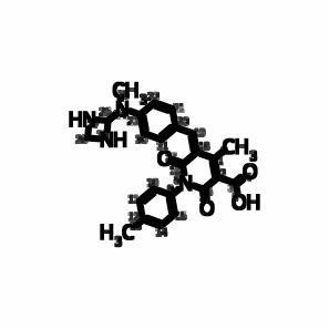 CC1=C(C(=O)O)C(=O)N(c2ccc(C)cc2)C(=O)/C1=C\c1ccc(N(C)C2NCN2)cc1